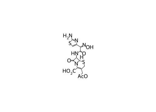 CC(=O)OCC1=C(C(=O)O)N2C(=O)[C@@H](NC(=O)/C(=N\O)c3csc(N)n3)[C@H]2SC1